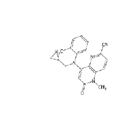 Cc1ccccc1N(CC1CC1)c1cc(=O)n(C)c2ccc(C#N)nc12